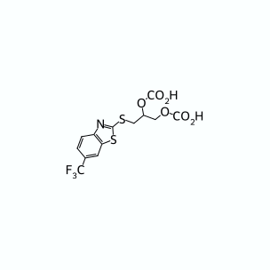 O=C(O)OCC(CSc1nc2ccc(C(F)(F)F)cc2s1)OC(=O)O